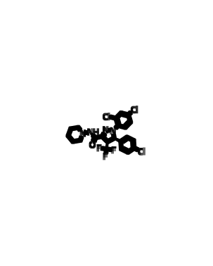 O=C(NN1CCCCC1)C1=NN(c2ccc(Cl)cc2Cl)[C@@H](c2ccc(Cl)cc2)[C@H]1C(F)(F)F